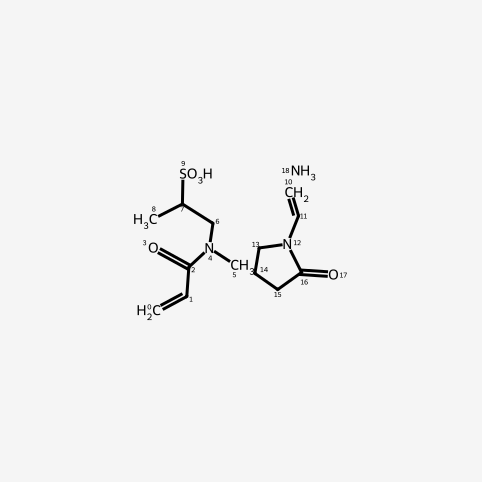 C=CC(=O)N(C)CC(C)S(=O)(=O)O.C=CN1CCCC1=O.N